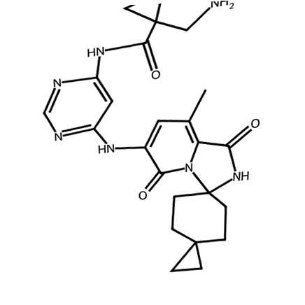 Cc1cc(Nc2cc(NC(=O)C3(CN)CC3)ncn2)c(=O)n2c1C(=O)NC21CCC2(CC2)CC1